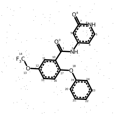 O=C(Nc1cc[nH]c(=O)c1)c1cc(OC(F)(F)F)ccc1Oc1ccccc1